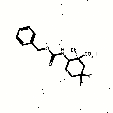 CC[C@]1(C(=O)O)CC(F)(F)CC[C@H]1NC(=O)OCc1ccccc1